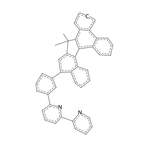 CC1(C)c2cc(-c3cccc(-c4cccc(-c5ccccn5)n4)c3)c3ccccc3c2-c2c1c1ccccc1c1ccccc21